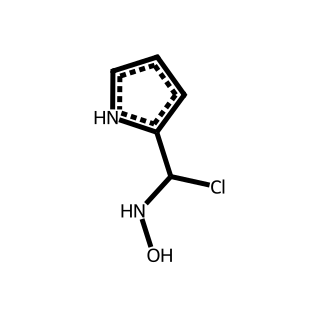 ONC(Cl)c1ccc[nH]1